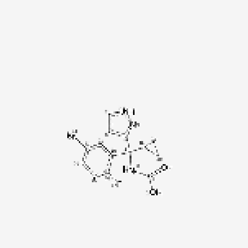 O=C(O)NC(c1cc[nH]n1)(c1cc(Br)ccc1F)C1CC1